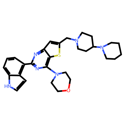 c1cc(-c2nc(N3CCOCC3)c3sc(CN4CCC(N5CCCCC5)CC4)cc3n2)c2cc[nH]c2c1